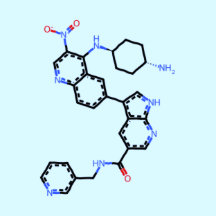 N[C@H]1CC[C@H](Nc2c([N+](=O)[O-])cnc3ccc(-c4c[nH]c5ncc(C(=O)NCc6cccnc6)cc45)cc23)CC1